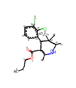 CC1=C(C(=O)OCCC#N)C(c2cccc(Cl)c2Cl)C(C)(C(=O)O)C(C)N1